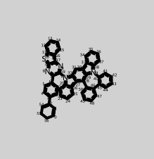 C1=CC(c2ccc(-c3nc4sc5ccccc5c4nc3-n3c4ccccc4c4c5c6c(cc43)c3ccccc3n6-c3ccccc3-c3ccccc3-5)cc2)=CCC1